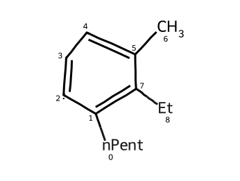 CCCCCc1[c]ccc(C)c1CC